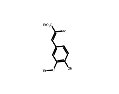 CCOC(=O)/C(=C/c1ccc(O)c(OCC)c1)C(C)=O